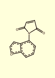 O=C1C=CC(=O)N1c1cccc2occc12